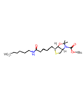 CC(C)(C)OC(=O)N1[C@H]2CS[C@@H](CCCCC(=O)NCCCCCC(=O)O)[C@H]2OC1(C)C